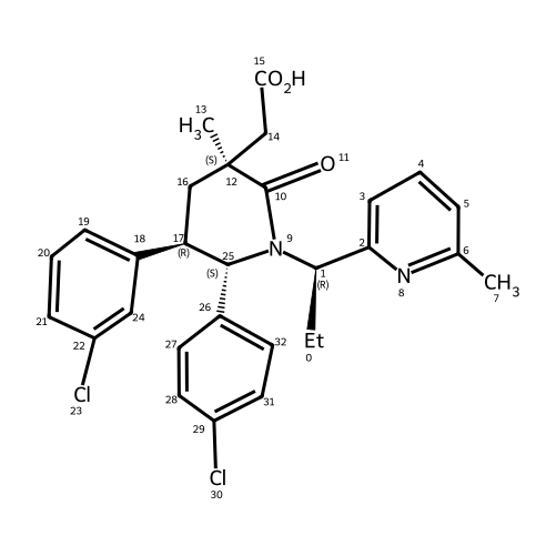 CC[C@H](c1cccc(C)n1)N1C(=O)[C@](C)(CC(=O)O)C[C@H](c2cccc(Cl)c2)[C@H]1c1ccc(Cl)cc1